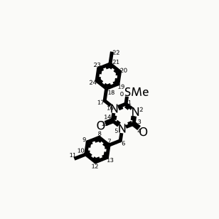 CSc1nc(=O)n(Cc2ccc(C)cc2)c(=O)n1Cc1ccc(C)cc1